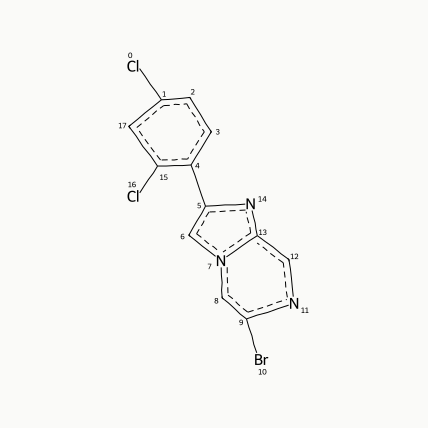 Clc1ccc(-c2cn3cc(Br)ncc3n2)c(Cl)c1